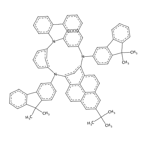 CC(C)(C)c1cc2ccc3c4cc(c5ccc(c1)c2c35)N(c1ccc2c(c1)-c1ccccc1C2(C)C)c1cccc(c1)N(c1ccccc1-c1ccccc1)c1cccc(c1)N4c1ccc2c(c1)-c1ccccc1C2(C)C